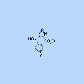 CCOC(=O)c1nn(C)cc1C(O)c1ccc(Cl)cc1